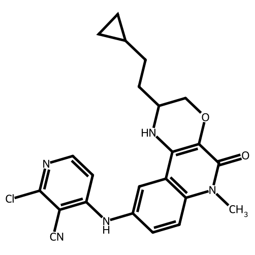 Cn1c(=O)c2c(c3cc(Nc4ccnc(Cl)c4C#N)ccc31)NC(CCC1CC1)CO2